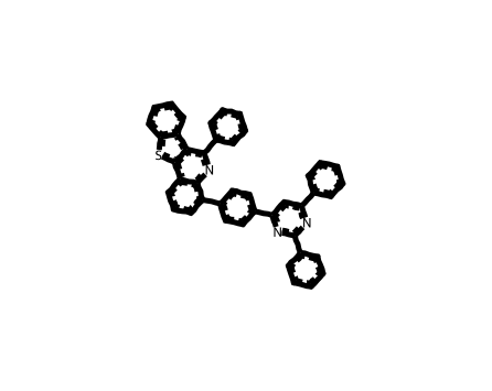 c1ccc(-c2cc(-c3ccc(-c4cccc5c4nc(-c4ccccc4)c4c6ccccc6sc54)cc3)nc(-c3ccccc3)n2)cc1